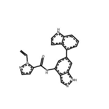 C=Cn1nccc1C(=O)Nc1cc(-c2cccc3[nH]ccc23)cc2[nH]ncc12